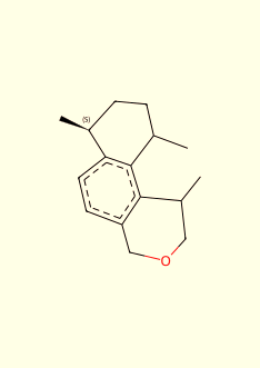 CC1COCc2ccc3c(c21)C(C)CC[C@@H]3C